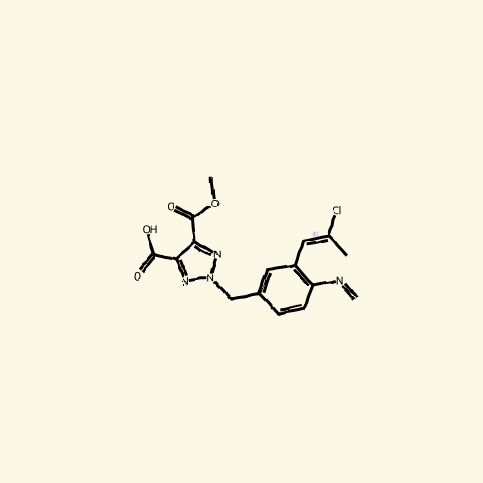 C=Nc1ccc(Cn2nc(C(=O)O)c(C(=O)OC)n2)cc1/C=C(\C)Cl